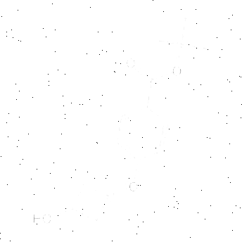 CC(C)(C)OC(=O)c1ccc(OC2CC(O)C2)cc1